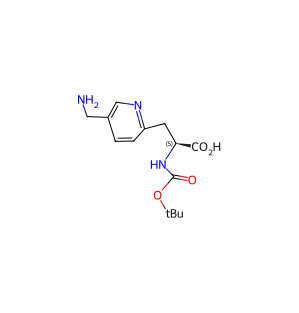 CC(C)(C)OC(=O)N[C@@H](Cc1ccc(CN)cn1)C(=O)O